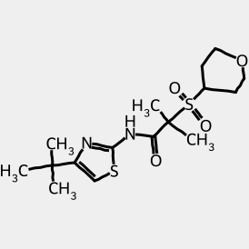 CC(C)(C)c1csc(NC(=O)C(C)(C)S(=O)(=O)C2CCOCC2)n1